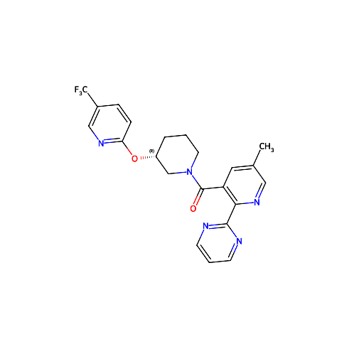 Cc1cnc(-c2ncccn2)c(C(=O)N2CCC[C@@H](Oc3ccc(C(F)(F)F)cn3)C2)c1